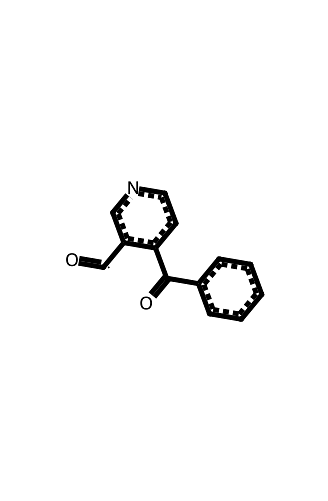 O=[C]c1cnccc1C(=O)c1ccccc1